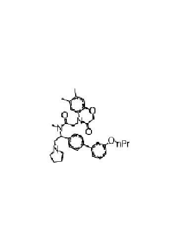 CCCOc1cccc(-c2ccc(C(CN3CCCC3)N(C)C(=O)CN3C(=O)COc4cc(C)c(C)cc43)cc2)c1